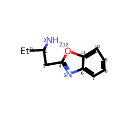 CCC(N)Cc1nc2ccccc2o1